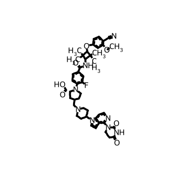 COc1cc(OC2C(C)(C)C(NC(=O)c3ccc(N4CCC(CN5CCC(n6ccc7c(N8CCC(=O)NC8=O)nccc76)CC5)CC4)c(F)c3)C2(C)C)ccc1C#N.O=CO